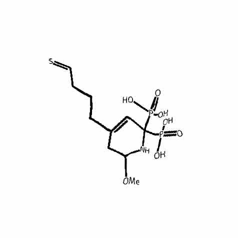 COC1CC(CCCC=S)=CC(P(=O)(O)O)(P(=O)(O)O)N1